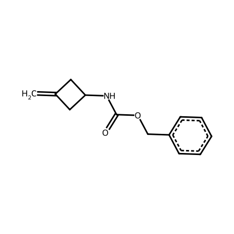 C=C1CC(NC(=O)OCc2ccccc2)C1